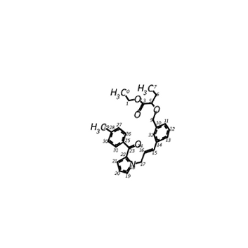 CCOC(=O)C(CC)OCc1cccc(/C=C/Cn2cccc2C(=O)c2ccc(C)cc2)c1